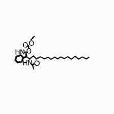 CCCCCCCCCCCCCCCCCC(NC(C)=O)c1c(OC(=O)OCC)[nH]c2ccccc12